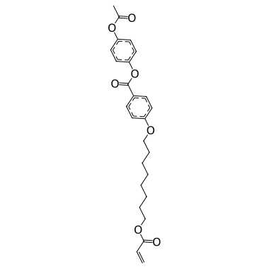 C=CC(=O)OCCCCCCCCOc1ccc(C(=O)Oc2ccc(OC(C)=O)cc2)cc1